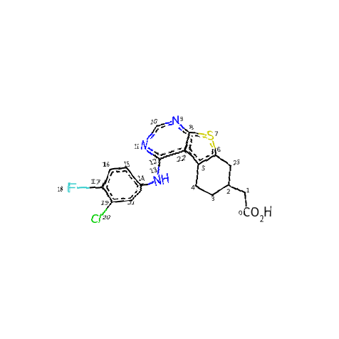 O=C(O)CC1CCc2c(sc3ncnc(Nc4ccc(F)c(Cl)c4)c23)C1